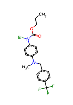 CCCOC(=O)N(Br)c1ccc(N(C)Cc2ccc(C(F)(F)F)cc2)cc1